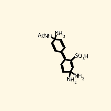 CC(=O)NC1(N)C=CC(=C2C=CC(N)(N)C=C2S(=O)(=O)O)C=C1